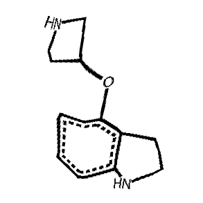 c1cc2c(c(OC3CNC3)c1)CCN2